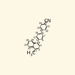 Cc1ccc(-c2ccc(-c3ccc(C#N)cc3)cc2)c2ccccc12